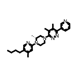 CCCCc1cnc(N2CCN(c3nnc(-c4cccnc4)c(C)c3C)C[C@H]2C)cc1C